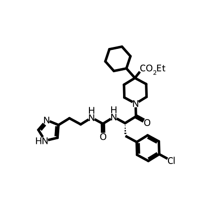 CCOC(=O)C1(C2CCCCC2)CCN(C(=O)[C@H](Cc2ccc(Cl)cc2)NC(=O)NCCc2c[nH]cn2)CC1